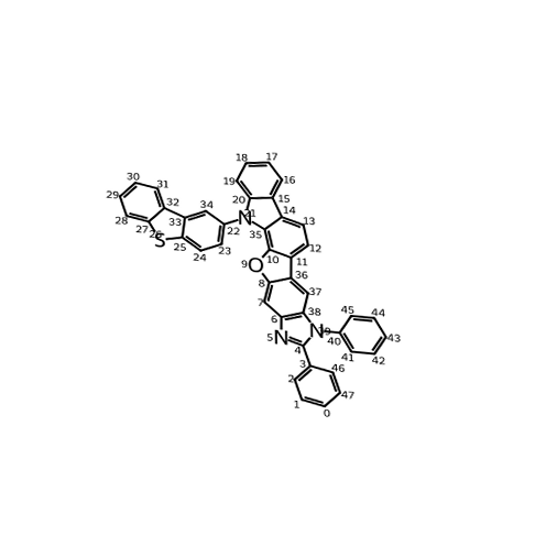 c1ccc(-c2nc3cc4oc5c(ccc6c7ccccc7n(-c7ccc8sc9ccccc9c8c7)c65)c4cc3n2-c2ccccc2)cc1